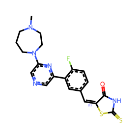 CN1CCCN(c2cncc(-c3cc(/C=C4/SC(=S)NC4=O)ccc3F)n2)CC1